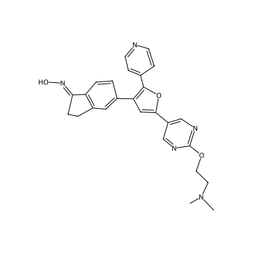 CN(C)CCOc1ncc(-c2cc(-c3ccc4c(c3)CCC4=NO)c(-c3ccncc3)o2)cn1